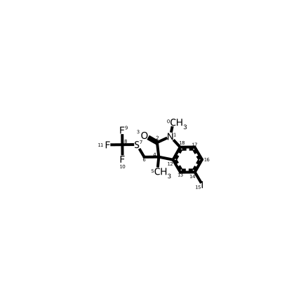 CN1C(=O)C(C)(CSC(F)(F)F)c2cc(I)ccc21